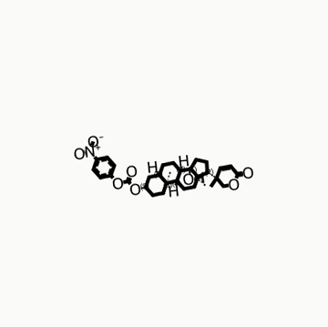 CC1([C@H]2CC[C@]3(O)[C@@H]4CC[C@@H]5C[C@@H](OC(=O)Oc6ccc([N+](=O)[O-])cc6)CC[C@]5(C)[C@H]4CC[C@]23C)C=CC(=O)OC1